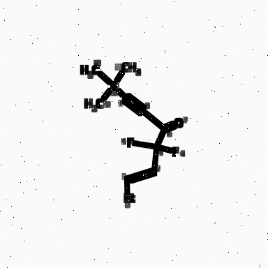 CCC=CC(F)(F)C(=O)C#C[Si](C)(C)C